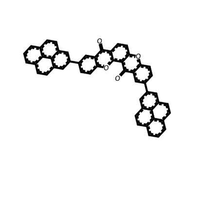 O=c1c2cc(-c3cc4ccc5cccc6ccc(c3)c4c56)ccc2oc2c1ccc1oc3ccc(-c4cc5ccc6cccc7ccc(c4)c5c67)cc3c(=O)c12